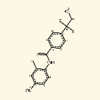 C=C(Nc1ccc(N=O)cc1C)c1ccc(C(C)(C)CO)cc1